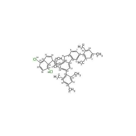 Cc1cc(C)c(-c2ccc3c(c2)-c2cc(-c4c(C)cc(C)cc4C)c[c]([Ti]([CH3])([CH3])[CH]4C=Cc5c(Cl)ccc(Cl)c54)c2C3)c(C)c1